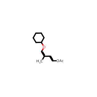 CC(=O)OC=CC(C)=COC1CCCCC1